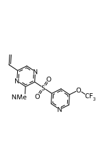 C=Cc1cnc(S(=O)(=O)c2cncc(OC(F)(F)F)c2)c(NC)n1